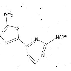 CNc1nccc(-c2cnc(N)s2)n1